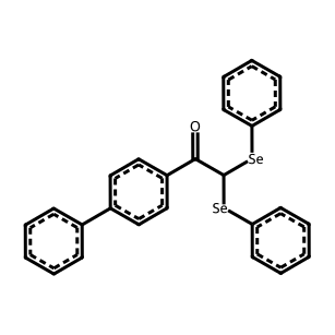 O=C(c1ccc(-c2ccccc2)cc1)C([Se]c1ccccc1)[Se]c1ccccc1